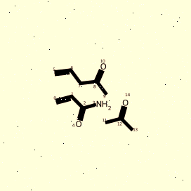 C=CC(N)=O.C=CCC(C)=O.CC(C)=O